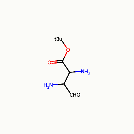 CC(C)(C)OC(=O)C(N)C(N)C=O